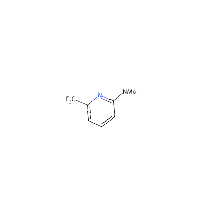 C[N]c1cccc(C(F)(F)F)n1